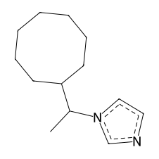 CC(C1CCCCCCC1)n1ccnc1